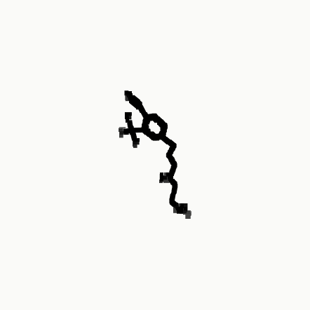 N#Cc1ccc(CCCNCCN)cc1C(F)(F)F